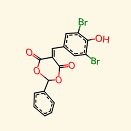 O=C1OC(c2ccccc2)OC(=O)C1=Cc1cc(Br)c(O)c(Br)c1